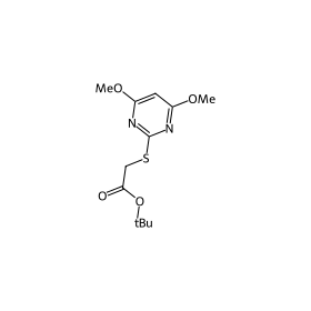 COc1cc(OC)nc(SCC(=O)OC(C)(C)C)n1